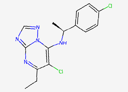 CCc1nc2ncnn2c(N[C@@H](C)c2ccc(Cl)cc2)c1Cl